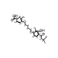 CC1=C(OCCCCOc2ccc(C(=O)CC(C)C)c(O)c2C)C=CC(C(=O)O)C1